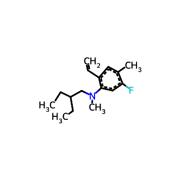 C=Cc1cc(C)c(F)cc1N(C)CC(CC)CC